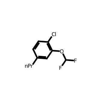 CCCc1ccc(Cl)c(OC(F)F)c1